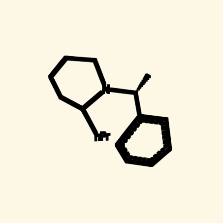 CCCC1CCCCN1[C@H](C)c1ccccc1